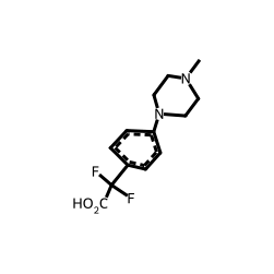 CN1CCN(c2ccc(C(F)(F)C(=O)O)cc2)CC1